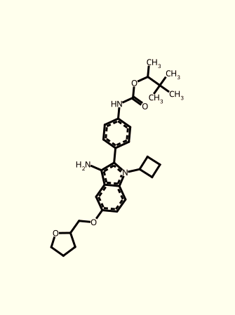 CC(OC(=O)Nc1ccc(-c2c(N)c3cc(OCC4CCCO4)ccc3n2C2CCC2)cc1)C(C)(C)C